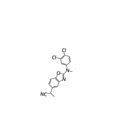 CC(C#N)c1ccc2oc(N(C)c3ccc(Cl)c(Cl)c3)nc2c1